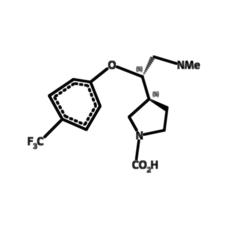 CNC[C@@H](Oc1ccc(C(F)(F)F)cc1)[C@H]1CCN(C(=O)O)C1